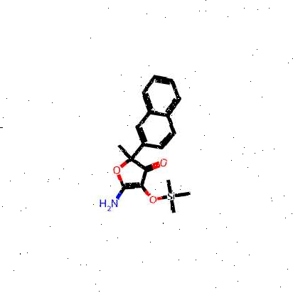 CC1(c2ccc3ccccc3c2)OC(N)=C(O[Si](C)(C)C)C1=O